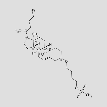 CC(C)CCC[C@@H](C)[C@H]1CC[C@H]2[C@@H]3CC=C4C[C@@H](OCCCCOS(C)(=O)=O)CC[C@]4(C)[C@H]3CC[C@]12C